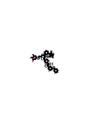 C=C(Cl)/C(C)=C\C(=C/CC)OCCCc1c(C(=O)N2CCC(NC(=O)c3cccc(Oc4ccccc4)c3)CC2)[nH]c2c(-c3c(C)nn(C)c3C)cccc12